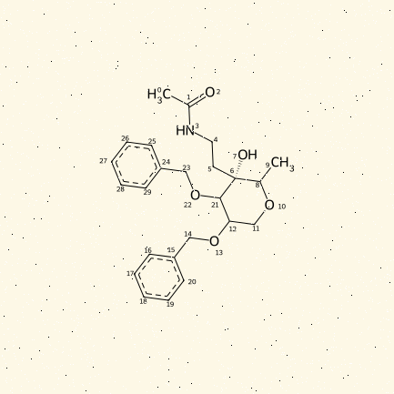 CC(=O)NCC[C@@]1(O)C(C)OCC(OCc2ccccc2)C1OCc1ccccc1